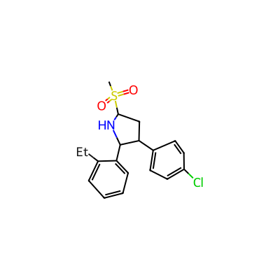 CCc1ccccc1C1NC(S(C)(=O)=O)CC1c1ccc(Cl)cc1